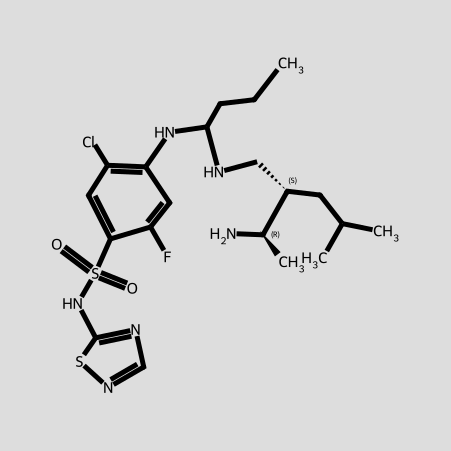 CCCC(NC[C@H](CC(C)C)[C@@H](C)N)Nc1cc(F)c(S(=O)(=O)Nc2ncns2)cc1Cl